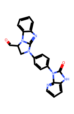 O=CC1CN(c2ccc(-n3c(=O)[nH]c4cccnc43)cc2)c2nc3ccccc3n21